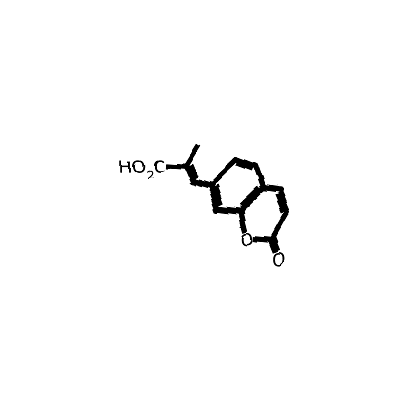 CC(=Cc1ccc2ccc(=O)oc2c1)C(=O)O